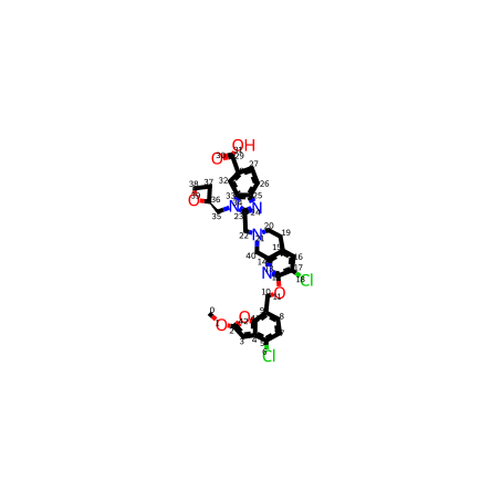 COc1cc2c(Cl)ccc(COc3nc4c(cc3Cl)CCN(Cc3nc5ccc(C(=O)O)cc5n3C[C@@H]3CCO3)C4)c2o1